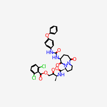 C[C@H](NC(=O)[C@@H]1CCCN2C(=O)CCC(NC(=O)Nc3ccc(Oc4ccccc4)cc3)C(=O)N12)C(=O)COC(=O)c1c(Cl)cccc1Cl